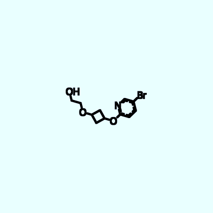 OCCOC1CC(Oc2ccc(Br)cn2)C1